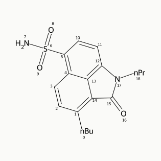 CCCCc1ccc2c(S(N)(=O)=O)ccc3c2c1C(=O)N3CCC